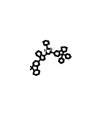 CC1(C)c2ccccc2-c2cc(-c3ccc(-c4cc(-c5ccc6c(c5)-c5ccccc5C6(c5ccccc5)c5ccccc5)nc(-c5ccccc5)n4)c4ccccc34)ccc21